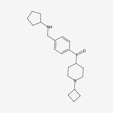 O=C(c1ccc(CNC2CCCC2)cc1)C1CCN(C2CCC2)CC1